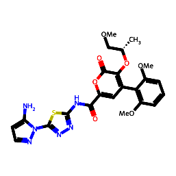 COC[C@H](C)Oc1c(-c2c(OC)cccc2OC)cc(C(=O)Nc2nnc(-n3nccc3N)s2)oc1=O